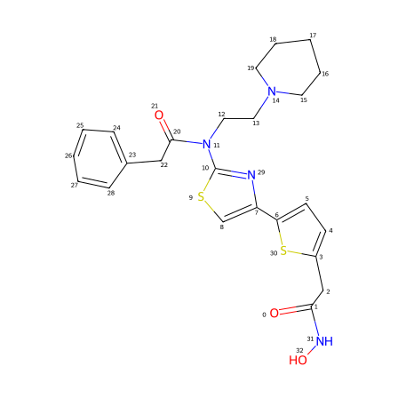 O=C(Cc1ccc(-c2csc(N(CCN3CCCCC3)C(=O)Cc3ccccc3)n2)s1)NO